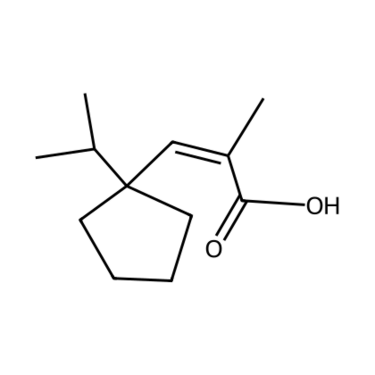 CC(=CC1(C(C)C)CCCC1)C(=O)O